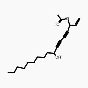 C=CC(C#CC#CC(O)CCCCCCCCC)OC(C)=O